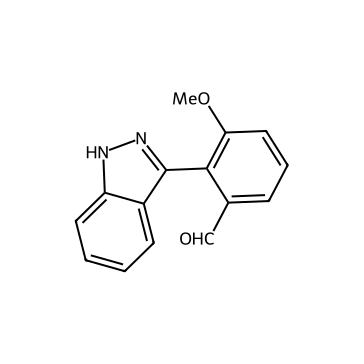 COc1cccc(C=O)c1-c1n[nH]c2ccccc12